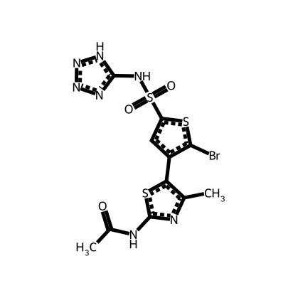 CC(=O)Nc1nc(C)c(-c2cc(S(=O)(=O)Nc3nnn[nH]3)sc2Br)s1